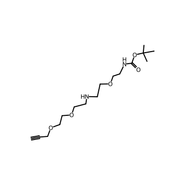 C#CCOCCOCCNCCOCCNC(=O)OC(C)(C)C